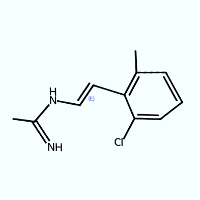 CC(=N)N/C=C/c1c(C)cccc1Cl